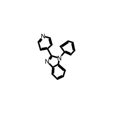 c1ccc(-n2c(-c3ccncc3)nc3ccccc32)cc1